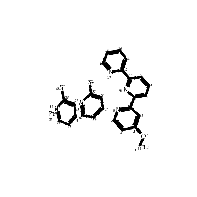 CCCCOc1ccnc(-c2cccc(-c3ccccn3)n2)c1.[Pt+2].[S-]c1ccccn1.[S-]c1ccccn1